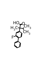 CC(C)C(C)(C(=O)O)c1ccc(-c2ccccc2)c(F)c1